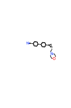 N#Cc1ccc(-c2ccc([C@H]3C[C@@H]3CCN3CCOCC3)cc2)cc1